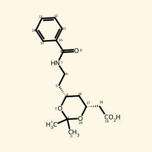 CC1(C)O[C@H](CCNC(=O)c2ccccc2)C[C@H](CC(=O)O)O1